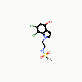 CS(=O)(=O)NCCn1ccc2c(O)cc(Cl)c(Cl)c21